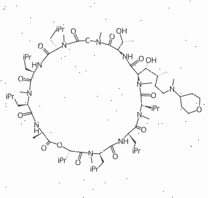 CC(C)C[C@@H]1C(=O)N[C@H](CC(C)C)C(=O)N(C)[C@H](C(C)C)C(=O)N(C)[C@H]([C@H](O)[C@H](C)CCN(C)C2CCOCC2)C(=O)N[C@H]([C@@H](C)O)C(=O)N(C)CC(=O)N(C)[C@@H](CC(C)C)C(=O)N[C@H](CC(C)C)C(=O)N(C)[C@H](CC(C)C)C(=O)N[C@H](C)C(=O)O[C@@H](C(C)C)C(=O)N1C